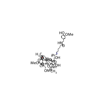 CN(N=O)C(=O)N[C@@H]1[C@@H](O)[C@H](O)[C@@H](CO)O[C@@H]1O.CO[C@H]1O[C@@H]2O[C@]3(C)CC[C@H]4[C@H](C)CC[C@@H]([C@H]1C)C24OO3.COc1cc(CNC(=O)CCCC/C=C/C(C)C)ccc1O